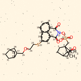 CC1(C)C2CCC1(CS(=O)(=O)ON1C(=O)c3cccc4cc(SCCOCC5CC6CCC5C6)cc(c34)C1=O)C(=O)C2